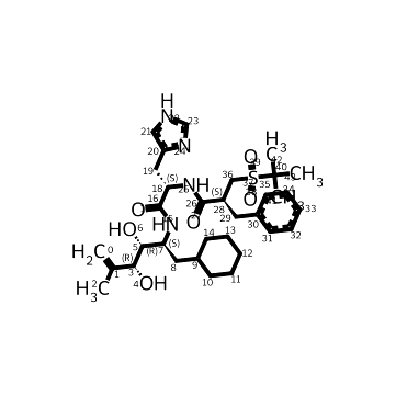 C=C(C)[C@@H](O)[C@H](O)[C@H](CC1CCCCC1)NC(=O)[C@H](Cc1c[nH]cn1)NC(=O)[C@H](Cc1ccccc1)CS(=O)(=O)C(C)(C)C